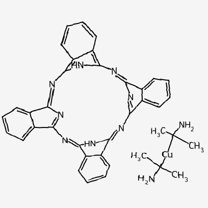 C[C](C)(N)[Cu][C](C)(C)N.c1ccc2c(c1)-c1nc-2nc2[nH]c(nc3nc(nc4[nH]c(n1)c1ccccc41)-c1ccccc1-3)c1ccccc21